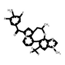 CC1Cc2cc(C(=O)c3cc(F)c(N)c(F)c3)n3cccc(c23)-c2c(C(F)(F)F)cc3c(ncn3C)c2O1